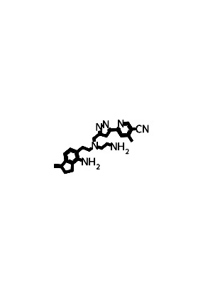 C=C1CCc2c1ccc(CCN(CCN)CC1=NN=C(c3cc(C)c(C#N)cn3)C1)c2N